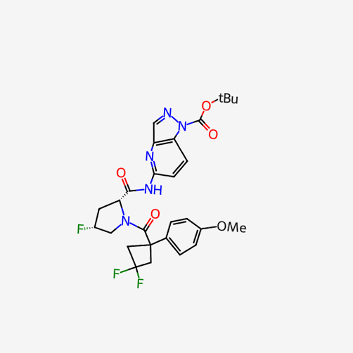 COc1ccc(C2(C(=O)N3C[C@H](F)C[C@@H]3C(=O)Nc3ccc4c(cnn4C(=O)OC(C)(C)C)n3)CC(F)(F)C2)cc1